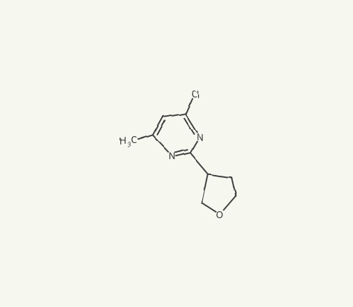 Cc1cc(Cl)nc(C2CCOC2)n1